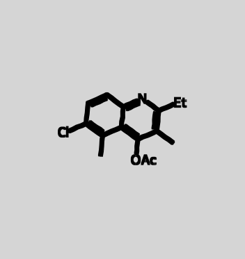 CCc1nc2ccc(Cl)c(C)c2c(OC(C)=O)c1C